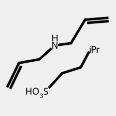 C=CCNCC=C.CC(C)CCS(=O)(=O)O